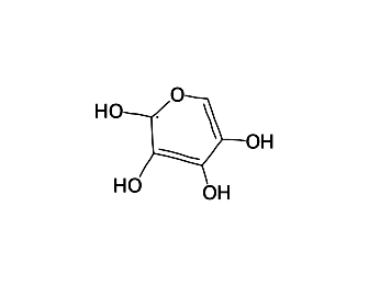 O[C]1OC=C(O)C(O)=C1O